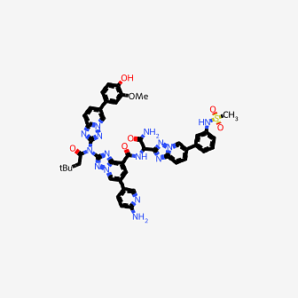 COc1cc(-c2ccc3nc(N(C(=O)CC(C)(C)C)c4nc5c(C(=O)NC(C(N)=O)c6nc7ccc(-c8cccc(NS(C)(=O)=O)c8)cn7n6)cc(-c6ccc(N)nc6)cn5n4)nn3c2)ccc1O